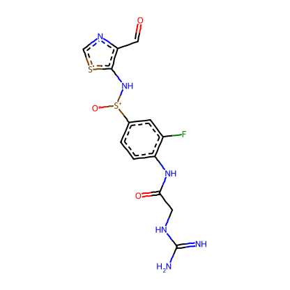 N=C(N)NCC(=O)Nc1ccc([S+]([O-])Nc2scnc2C=O)cc1F